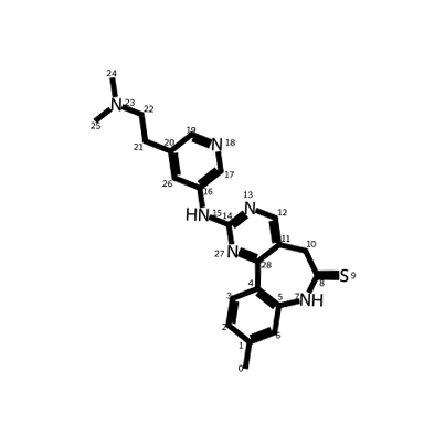 Cc1ccc2c(c1)NC(=S)Cc1cnc(Nc3cncc(CCN(C)C)c3)nc1-2